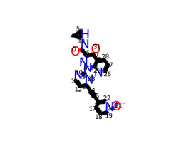 O=C(NC1CC1)c1nn(-c2nccc(C#Cc3ccc[n+]([O-])c3)n2)c2ncccc2c1=O